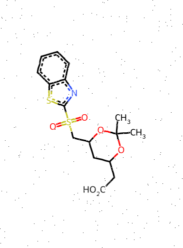 CC1(C)OC(CC(=O)O)CC(CS(=O)(=O)c2nc3ccccc3s2)O1